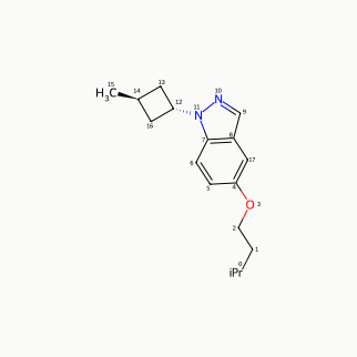 CC(C)CCOc1ccc2c(cnn2[C@H]2C[C@H](C)C2)c1